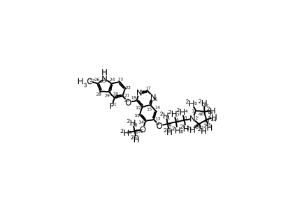 [2H]C1N(C([2H])([2H])C([2H])([2H])C([2H])([2H])Oc2cc3ncnc(Oc4ccc5[nH]c(C)cc5c4F)c3cc2OC([2H])([2H])[2H])C([2H])([2H])C([2H])([2H])C1([2H])[2H]